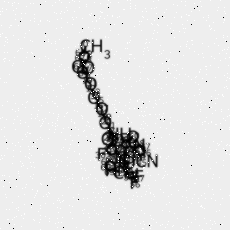 Cc1ccc(S(=O)(=O)OCCOCCOCCOCCOCCNS(=O)(=O)c2cc(F)cc(N(C(=O)[C@@H]3CCC(=O)N3c3cc(C#N)ccn3)C(C(=O)NC3CC(F)(F)C3)c3ccccc3Cl)c2)cc1